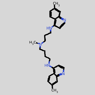 Cc1ccc2c(NCCCCN(C)CCCNc3ccnc4cc(C)ccc34)ccnc2c1